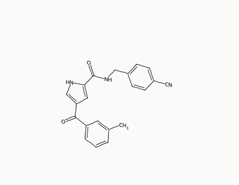 Cc1cccc(C(=O)c2c[nH]c(C(=O)NCc3ccc(C#N)cc3)c2)c1